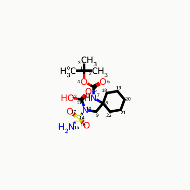 CC(C)(C)OC(=O)NC1(CN(C(=O)O)S(N)(=O)=O)CCCCC1